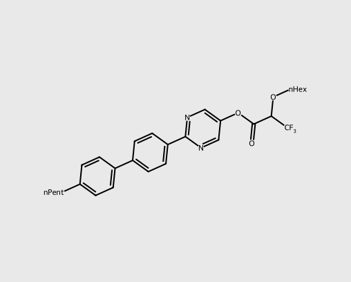 CCCCCCOC(C(=O)Oc1cnc(-c2ccc(-c3ccc(CCCCC)cc3)cc2)nc1)C(F)(F)F